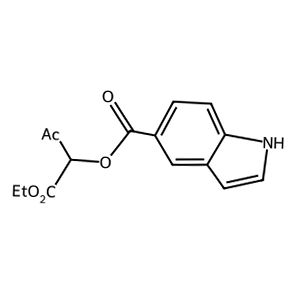 CCOC(=O)C(OC(=O)c1ccc2[nH]ccc2c1)C(C)=O